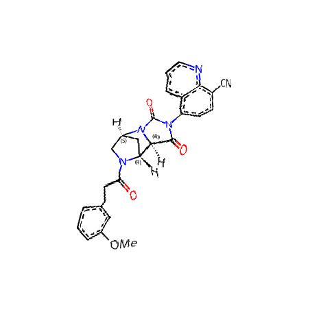 COc1cccc(CC(=O)N2C[C@@H]3C[C@@H]2[C@@H]2C(=O)N(c4ccc(C#N)c5ncccc45)C(=O)N32)c1